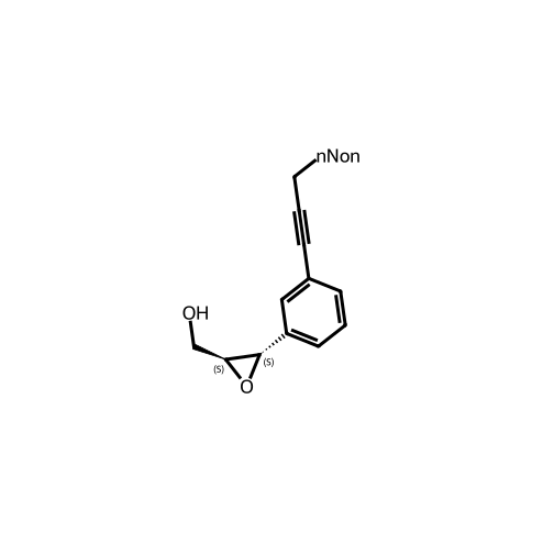 CCCCCCCCCCC#Cc1cccc([C@@H]2O[C@H]2CO)c1